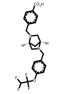 O=C(O)c1ccc(CN2C[C@@H]3C[C@H]2CN3Cc2ccc(OC(F)(F)C(F)F)cc2)cc1